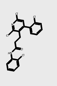 O=C(CCc1c(-c2ccccc2Cl)cc(Cl)nc1Cl)Nc1ccccc1Cl